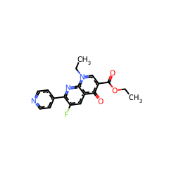 CCOC(=O)c1cn(CC)c2nc(-c3ccncc3)c(F)cc2c1=O